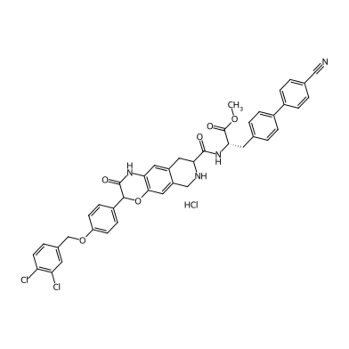 COC(=O)[C@H](Cc1ccc(-c2ccc(C#N)cc2)cc1)NC(=O)C1Cc2cc3c(cc2CN1)OC(c1ccc(OCc2ccc(Cl)c(Cl)c2)cc1)C(=O)N3.Cl